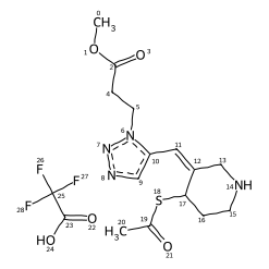 COC(=O)CCn1nncc1/C=C1/CNCCC1SC(C)=O.O=C(O)C(F)(F)F